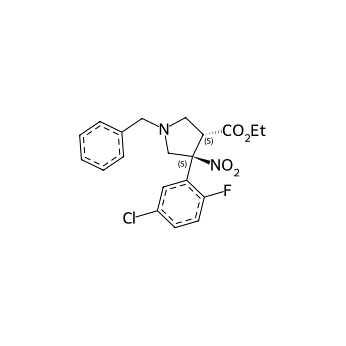 CCOC(=O)[C@H]1CN(Cc2ccccc2)C[C@]1(c1cc(Cl)ccc1F)[N+](=O)[O-]